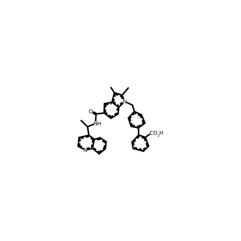 Cc1c(C)n(Cc2ccc(-c3ccccc3C(=O)O)cc2)c2ccc(C(=O)NC(C)c3ccnc4ccccc34)cc12